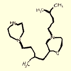 CC(C)CCN1CCOC(CC(C)CCN2CCNCC2)C1